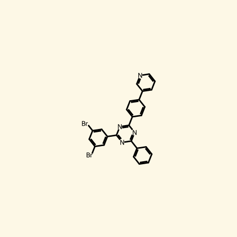 Brc1cc(Br)cc(-c2nc(-c3ccccc3)nc(-c3ccc(-c4cccnc4)cc3)n2)c1